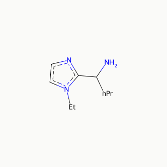 CCCC(N)c1nccn1CC